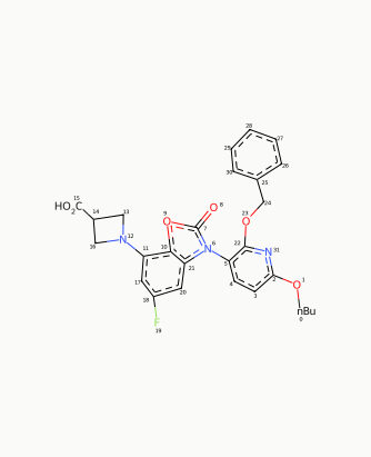 CCCCOc1ccc(-n2c(=O)oc3c(N4CC(C(=O)O)C4)cc(F)cc32)c(OCc2ccccc2)n1